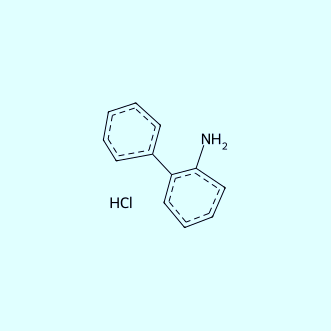 Cl.Nc1ccccc1-c1ccccc1